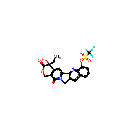 CC[C@@]1(O)C(=O)OCc2c1cc1n(c2=O)Cc2cc3cccc(OS(=O)(=O)C(F)(F)F)c3nc2-1